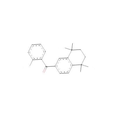 CC1(C)CCC(C)(C)c2cc(C(=O)c3ccccc3C(=O)O)ccc21